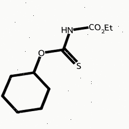 CCOC(=O)NC(=S)OC1CCCCC1